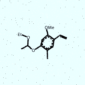 C=Cc1cc(C)c(OC(C)OCC)cc1OC